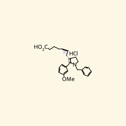 COc1cccc([C@H]2[C@H](C/C=C\CCCC(=O)O)CCN2Cc2ccccc2)c1.Cl